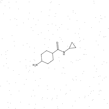 NC1CCC(C(=O)NC2CC2)CC1